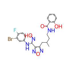 CC(CCNC(=O)c1ccccc1O)Cc1nonc1C(=NO)Nc1ccc(F)c(Br)c1